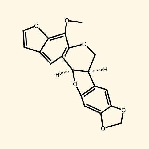 COc1c2c(cc3ccoc13)[C@@H]1Oc3cc4c(cc3[C@@H]1CO2)OCO4